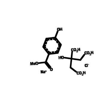 COC(=O)c1ccc(O)cc1.O=C(O)CC(O)(CC(=O)O)C(=O)O.[Cl-].[Na+]